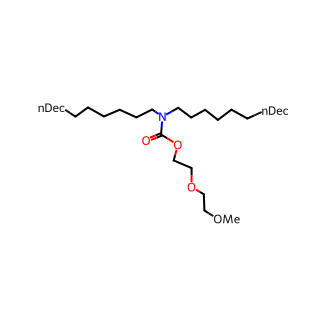 CCCCCCCCCCCCCCCCN(CCCCCCCCCCCCCCCC)C(=O)OCCOCCOC